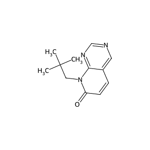 CC(C)(C)Cn1c(=O)ccc2cncnc21